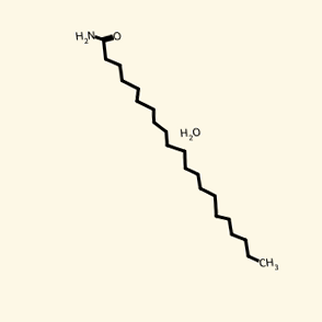 CCCCCCCCCCCCCCCCCCCCC(N)=O.O